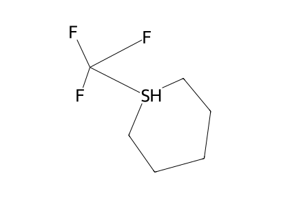 FC(F)(F)[SH]1CCCCC1